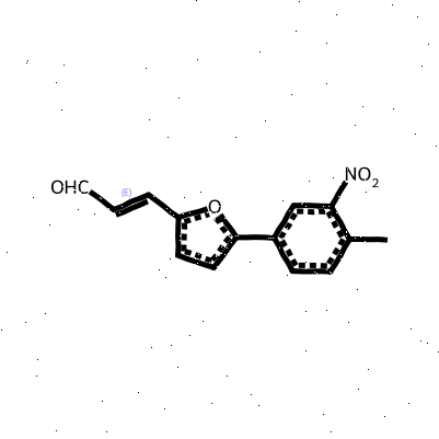 Cc1ccc(-c2ccc(/C=C/C=O)o2)cc1[N+](=O)[O-]